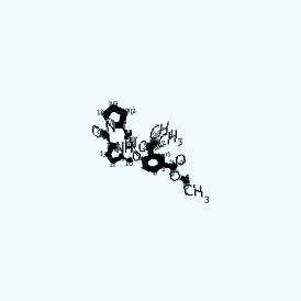 CCOC(=O)c1ccc(OC[C@H]2CC[C@@H](C(=O)N3CCC[C@H]3C#N)N2)c(C(C)(C)C)c1